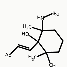 CCC(C)NC1(C)CCCC(C)(C)C1(O)/C=C/C(C)=O